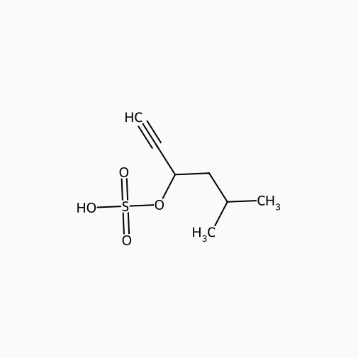 C#CC(CC(C)C)OS(=O)(=O)O